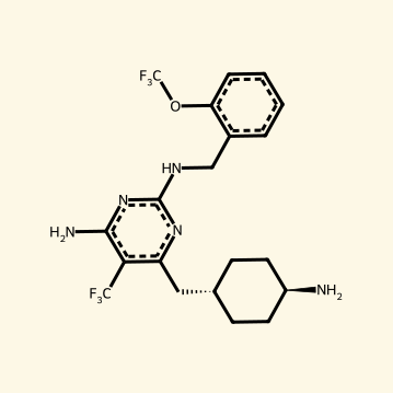 Nc1nc(NCc2ccccc2OC(F)(F)F)nc(C[C@H]2CC[C@H](N)CC2)c1C(F)(F)F